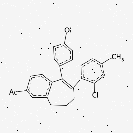 CC(=O)c1ccc2c(c1)CCCC(c1ccc(C)cc1Cl)=C2c1ccc(O)cc1